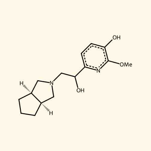 COc1nc(C(O)CN2C[C@H]3CCC[C@H]3C2)ccc1O